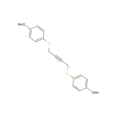 COc1ccc(SCC#CCSc2ccc(OC)cc2)cc1